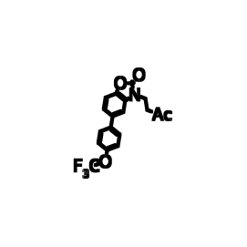 CC(=O)CCn1c(=O)oc2ccc(-c3ccc(OC(F)(F)F)cc3)cc21